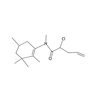 C=CCC(Cl)C(=O)N(C)C1=C(C)C(C)(C)CC(C)C1